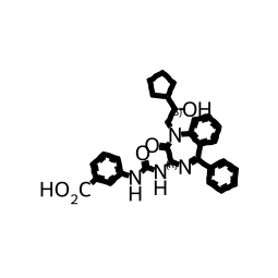 O=C(Nc1cccc(C(=O)O)c1)N[C@@H]1N=C(c2ccccc2)c2ccccc2N(C[C@@H](O)C2CCCC2)C1=O